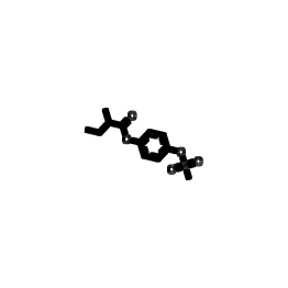 CCC(C)C(=O)Oc1ccc(OS(C)(=O)=O)cc1